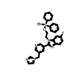 CC(C)(C)[Si](OCCn1c(-c2cncc(Cn3ccnc3)c2)nc2ccc(F)cc21)(c1ccccc1)c1ccccc1